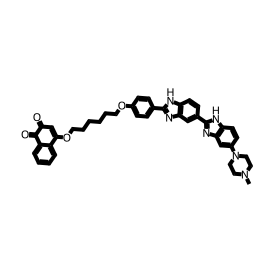 CN1CCN(c2ccc3[nH]c(-c4ccc5[nH]c(-c6ccc(OCCCCCCOC7=CC(=O)C(=O)c8ccccc87)cc6)nc5c4)nc3c2)CC1